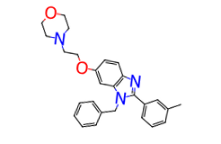 Cc1cccc(-c2nc3ccc(OCCN4CCOCC4)cc3n2Cc2ccccc2)c1